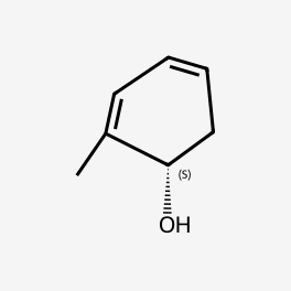 CC1=CC=CC[C@@H]1O